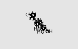 Cc1c(Cl)cccc1CNc1ncnc2c1ncn2C1O[C@H](CO)[C@@H](O)[C@H]1O